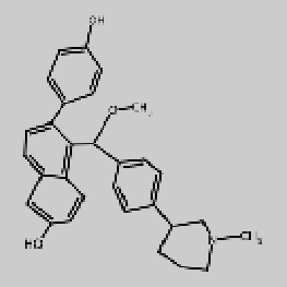 COC(c1ccc(C2CCCN(C)C2)cc1)c1c(-c2ccc(O)cc2)ccc2cc(O)ccc12